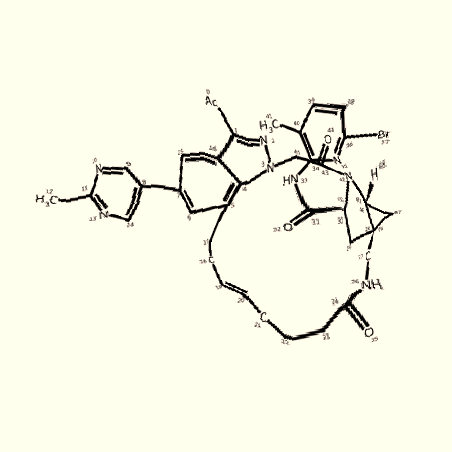 CC(=O)c1nn2c3c(cc(-c4cnc(C)nc4)cc13)CCC=CCCCC(=O)NC[C@@]13C[C@@H](C(=O)Nc4nc(Br)ccc4C)N(C(=O)C2)[C@@H]1C3